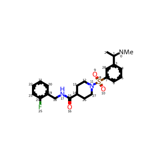 CNC(C)c1cccc(S(=O)(=O)N2CCC(C(=O)NCc3ccccc3F)CC2)c1